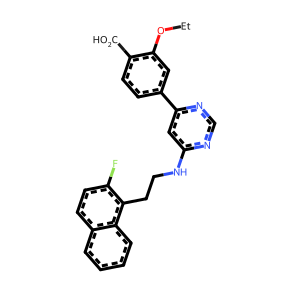 CCOc1cc(-c2cc(NCCc3c(F)ccc4ccccc34)ncn2)ccc1C(=O)O